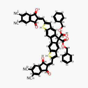 N#Cc1cc2c(cc1C#N)C(=O)C(=Cc1cc3cc4c(cc3s1)-c1cc3sc(C=C5C(=O)c6cc(C#N)c(C#N)cc6C5=O)cc3cc1C4(C(=O)OCc1ccccc1)C(=O)OCc1ccccc1)C2=O